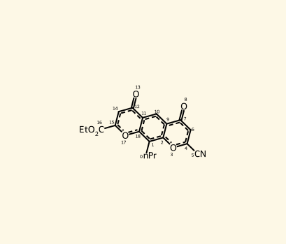 CCCc1c2oc(C#N)cc(=O)c2cc2c(=O)cc(C(=O)OCC)oc12